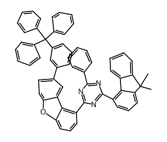 CC1(C)c2ccccc2-c2c(-c3nc(-c4ccccc4)nc(-c4cccc5oc6ccc(-c7cccc(C(c8ccccc8)(c8ccccc8)c8ccccc8)c7)cc6c45)n3)cccc21